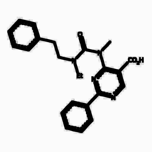 CCN(CCc1ccccc1)C(=O)N(C)c1nc(-c2ccccc2)ncc1C(=O)O